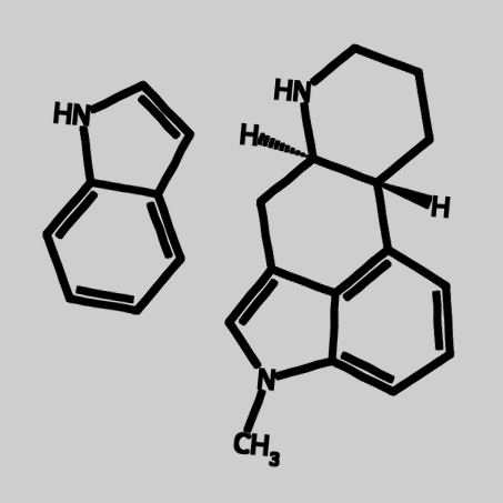 Cn1cc2c3c(cccc31)[C@H]1CCCN[C@@H]1C2.c1ccc2[nH]ccc2c1